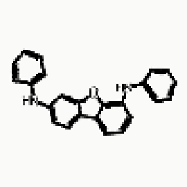 c1ccc(Nc2ccc3c(c2)oc2c(Nc4ccccc4)cccc23)cc1